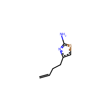 C=CCCc1csc(N)n1